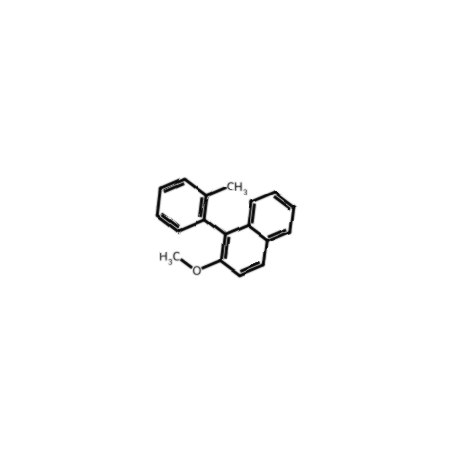 COc1ccc2ccccc2c1-c1[c]cccc1C